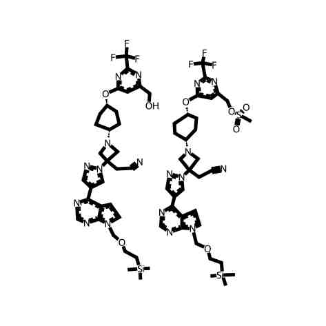 C[Si](C)(C)CCOCn1ccc2c(-c3cnn(C4(CC#N)CN([C@H]5CC[C@@H](Oc6cc(CO)nc(C(F)(F)F)n6)CC5)C4)c3)ncnc21.C[Si](C)(C)CCOCn1ccc2c(-c3cnn(C4(CC#N)CN([C@H]5CC[C@@H](Oc6cc(COS(C)(=O)=O)nc(C(F)(F)F)n6)CC5)C4)c3)ncnc21